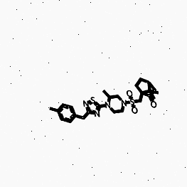 Cc1ccc(Cc2nsc(N3CCN(S(=O)(=O)CC45CCC(CC4=O)C5(C)C)CC3C)n2)cc1